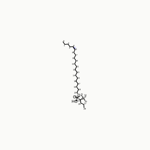 CCCC/C=C\CCCCCCCCCCCCCCCOP(=O)(O)C(CCC)[N+](C)(C)C